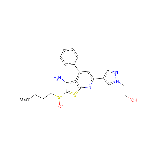 COCCC[S+]([O-])c1sc2nc(-c3cnn(CCO)c3)cc(-c3ccccc3)c2c1N